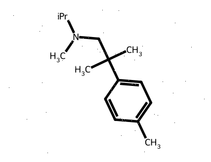 Cc1ccc(C(C)(C)CN(C)C(C)C)cc1